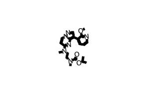 COc1ncccc1-c1cnn2ccc(N(C)CCN(C)C(=O)OC(C)C)nc12